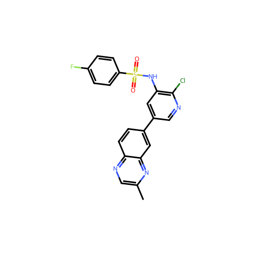 Cc1cnc2ccc(-c3cnc(Cl)c(NS(=O)(=O)c4ccc(F)cc4)c3)cc2n1